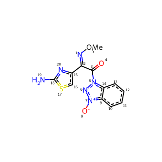 CO/N=C(\C(=O)n1n[n+]([O-])c2ccccc21)c1csc(N)n1